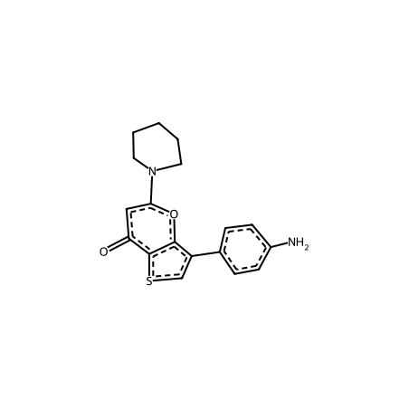 Nc1ccc(-c2csc3c(=O)cc(N4CCCCC4)oc23)cc1